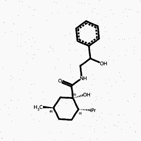 CC(C)[C@@H]1CC[C@@H](C)C[C@@]1(O)C(=O)NCC(O)c1ccccc1